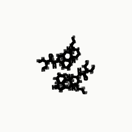 CCCN1CCC[C@@H]2c3cccc4c3c(cn4NC(=O)N(CC)CC)C[C@H]21.CCCN1C[C@@H](NC(=O)N(CC)CC)C[C@@H]2c3cccc4[nH]cc(c34)C[C@H]21